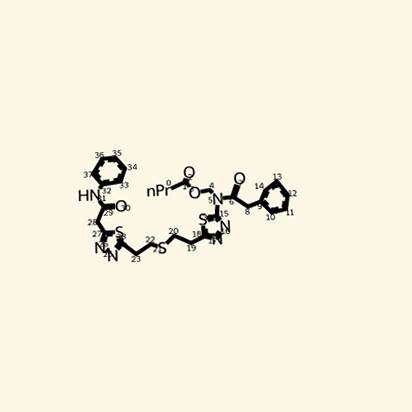 CCCC(=O)OCN(C(=O)Cc1ccccc1)c1nnc(CCSCCc2nnc(CC(=O)Nc3ccccc3)s2)s1